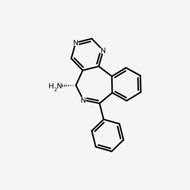 N[C@H]1N=C(c2ccccc2)c2ccccc2-c2ncncc21